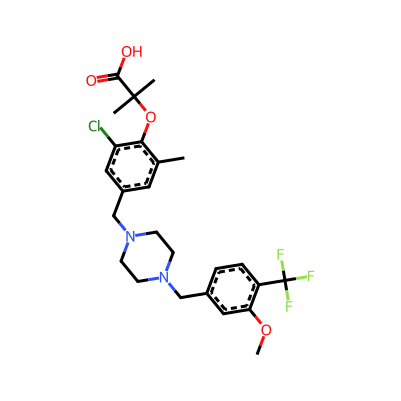 COc1cc(CN2CCN(Cc3cc(C)c(OC(C)(C)C(=O)O)c(Cl)c3)CC2)ccc1C(F)(F)F